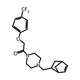 O=C(COc1ccc(C(F)(F)F)cc1)N1CCN(CC2CC3C=CC2C3)CC1